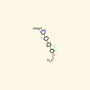 C=CCOc1ccc(-c2ccc(-c3ccc(-c4cnc(CCCCCCC)nc4)c(F)c3)cc2)c(F)c1F